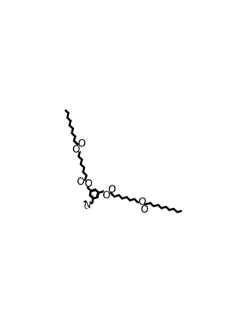 CCCCCCCCCC(=O)OCCCCCCCC(=O)OCc1cc(COC(=O)CCCCCCCOC(=O)CCCCCCCCC)cc(CN(C)C)c1